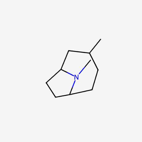 CC1CCC2CCC(C1)N2C